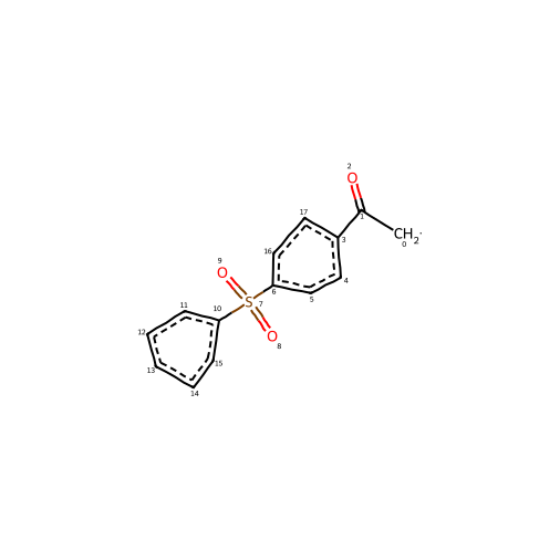 [CH2]C(=O)c1ccc(S(=O)(=O)c2ccccc2)cc1